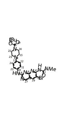 CNC(=O)Nc1nc2nc(Nc3ccc(N4CCN(C(=O)OC(C)(C)C)CC4)cc3)ncc2cc1Br